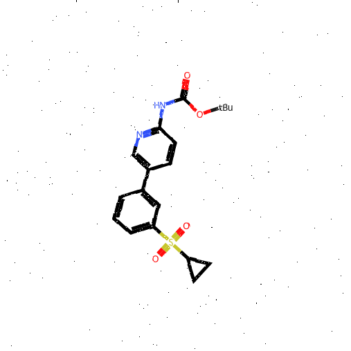 CC(C)(C)OC(=O)Nc1ccc(-c2cccc(S(=O)(=O)C3CC3)c2)cn1